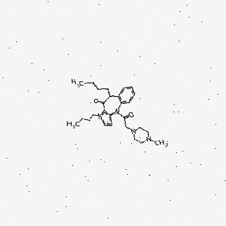 CCCCC1C(=O)c2c(ccn2CCCC)N(C(=O)CN2CCN(C)CC2)c2ccccc21